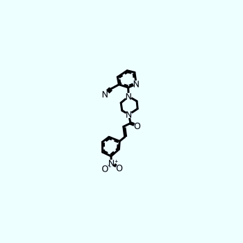 N#Cc1cccnc1N1CCN(C(=O)C=Cc2cccc([N+](=O)[O-])c2)CC1